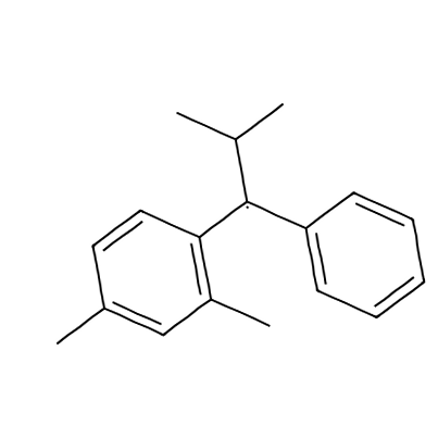 Cc1ccc([C](c2ccccc2)C(C)C)c(C)c1